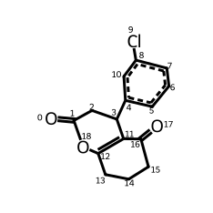 O=C1CC(c2cccc(Cl)c2)C2=C(CCCC2=O)O1